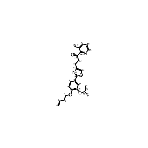 C=CCCOc1ccc(-c2nc(CCC(=O)c3ncccc3C)co2)cc1OC(F)F